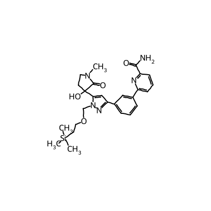 CN1CCC(O)(c2cc(-c3cccc(-c4cccc(C(N)=O)n4)c3)nn2COCC[Si](C)(C)C)C1=O